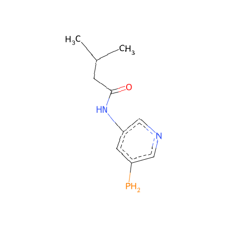 CC(C)CC(=O)Nc1cncc(P)c1